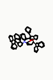 c1ccc(-c2c(-c3ccccc3N(c3ccc(-c4cc5ccccc5c5ccccc45)cc3)c3cccc4c3-c3ccccc3C43c4ccccc4-c4ccccc43)ccc3ccccc23)cc1